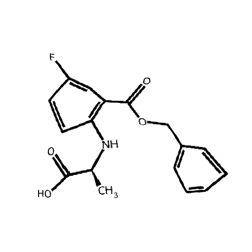 C[C@H](Nc1ccc(F)cc1C(=O)OCc1ccccc1)C(=O)O